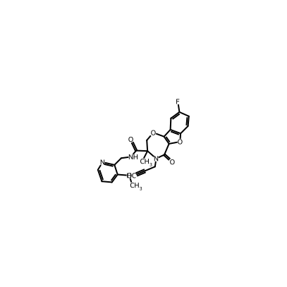 C#CCN1C(=O)c2oc3ccc(F)cc3c2OCC1(C)C(=O)NCc1ncccc1OC